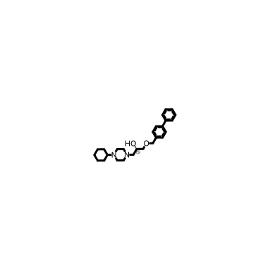 O[C@H](COCc1ccc(-c2ccccc2)cc1)CN1CCN(C2CCCCC2)CC1